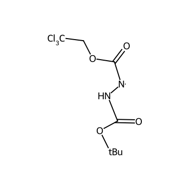 CC(C)(C)OC(=O)N[N]C(=O)OCC(Cl)(Cl)Cl